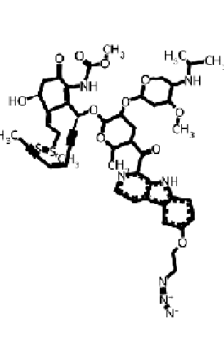 CC#C/C=C\C#C[C@H](OC1OC(C)C(C(=O)c2nccc3c2[nH]c2ccc(OCCN=[N+]=[N-])cc23)CC1OC1CC(OC)C(NC(C)C)CO1)C1=C(NC(=O)OC)C(=O)C[C@H](O)/C1=C/CS(C)=S